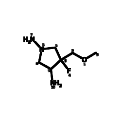 COCC1(F)CN(N)CC1N